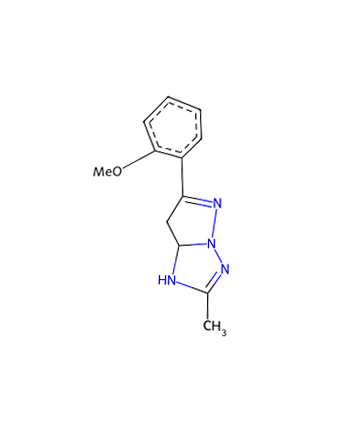 COc1ccccc1C1=NN2N=C(C)NC2C1